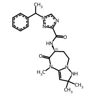 CC(c1ccccc1)n1cnc(C(=O)N[C@H]2CCN3NC(C)(C)C=C3N(C)C2=O)n1